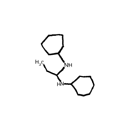 CCC(NC1CCCCC1)NC1CCCCC1